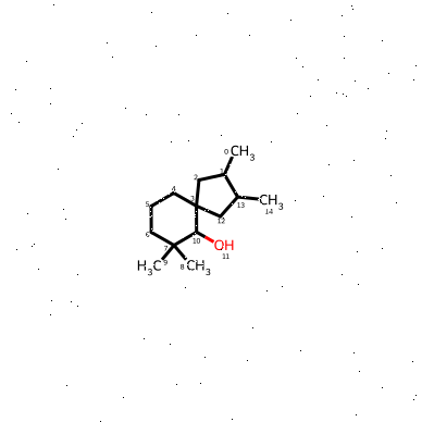 CC1CC2(CCCC(C)(C)C2O)CC1C